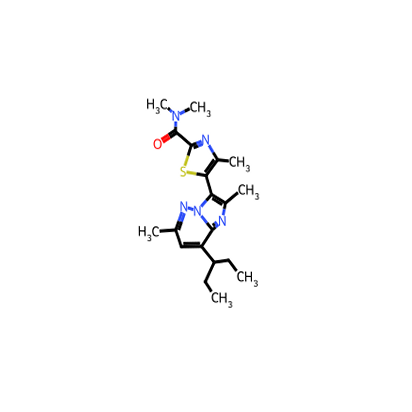 CCC(CC)c1cc(C)nn2c(-c3sc(C(=O)N(C)C)nc3C)c(C)nc12